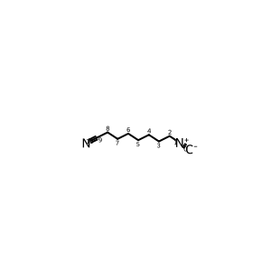 [C-]#[N+]CCCCCCCC#N